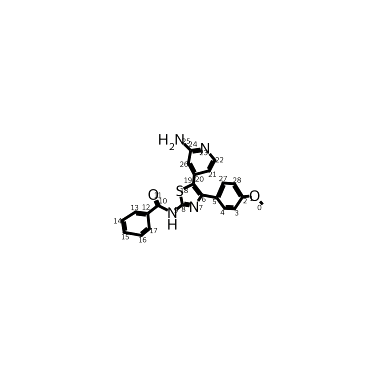 COc1ccc(-c2nc(NC(=O)c3ccccc3)sc2-c2ccnc(N)c2)cc1